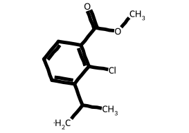 [CH2]C(C)c1cccc(C(=O)OC)c1Cl